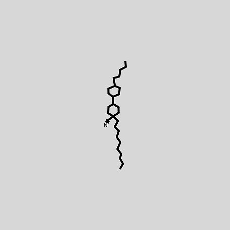 CCCCCCCCCCC1(C#N)CCC(C2CCC(CCCCC)CC2)CC1